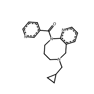 O=C(c1cccnc1)N1CCCN(CC2CC2)Cc2cccnc21